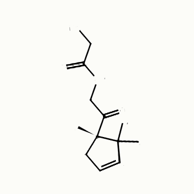 CC(C)CC(=O)OCC(=O)[C@@]1(C)CC=CC1(C)C